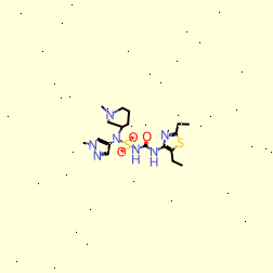 CCc1nc(NC(=O)NS(=O)(=O)N(c2cnn(C)c2)C2CCCN(C)C2)c(CC)s1